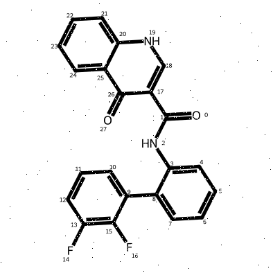 O=C(Nc1ccccc1-c1cccc(F)c1F)c1c[nH]c2ccccc2c1=O